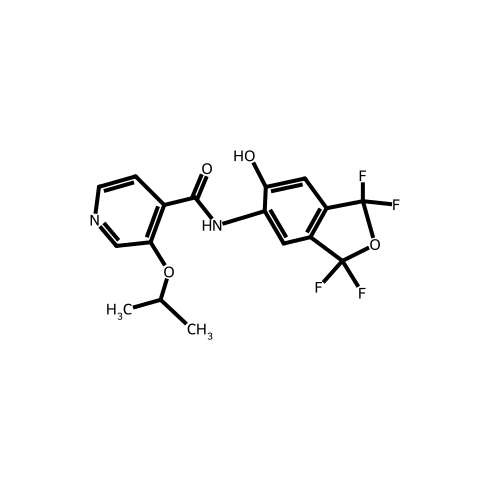 CC(C)Oc1cnccc1C(=O)Nc1cc2c(cc1O)C(F)(F)OC2(F)F